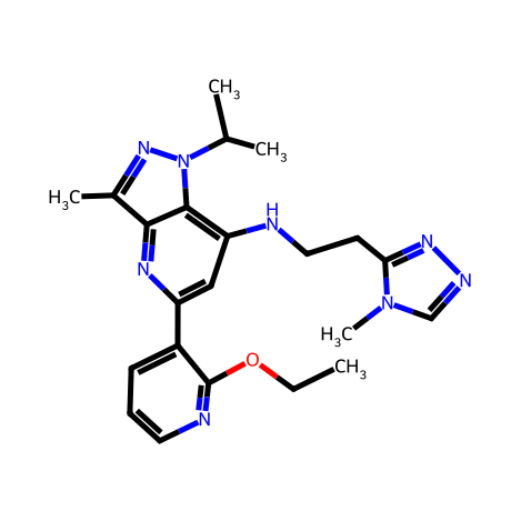 CCOc1ncccc1-c1cc(NCCc2nncn2C)c2c(n1)c(C)nn2C(C)C